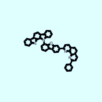 c1ccc(-c2ccc3ccc4ccc(-c5ccc6c(c5)oc5c(-n7c8ccccc8c8ccc9c%10ccccc%10sc9c87)cccc56)nc4c3n2)cc1